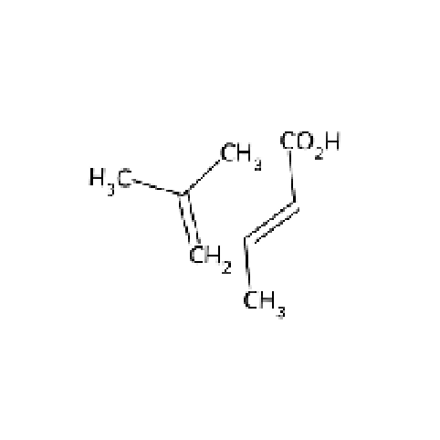 C=C(C)C.CC=CC(=O)O